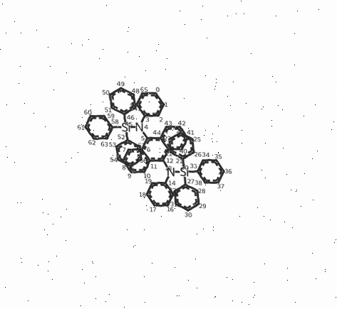 c1ccc(N(c2c3ccccc3c(N(c3ccccc3)[Si](c3ccccc3)(c3ccccc3)c3ccccc3)c3ccccc23)[Si](c2ccccc2)(c2ccccc2)c2ccccc2)cc1